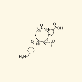 CC(=O)c1sc2cc1-c1ccc(C(=O)O)cc1NC(=O)[C@H](C)CCC[C@@H]2NC(=O)[C@H]1CC[C@H](CN)CC1